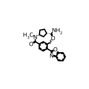 CN(C(=O)c1ccc(-c2nc3ccccc3o2)c(F)c1)[C@@H]1CC[C@H](C(N)=O)C1